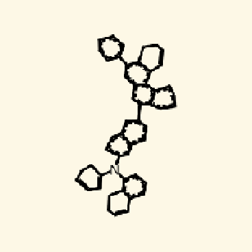 C1=CCCC(N(c2ccc3cc(-c4cc5cc(-c6ccccc6)c6c(c5c5ccccc45)C=CCC6)ccc3c2)c2cccc3c2CCC=C3)=C1